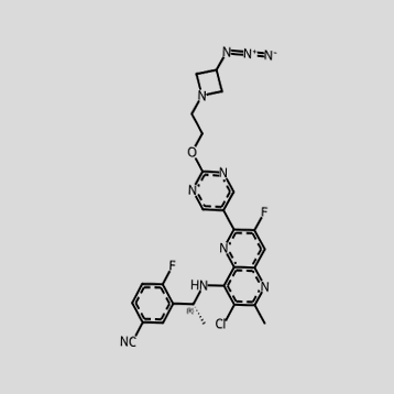 Cc1nc2cc(F)c(-c3cnc(OCCN4CC(N=[N+]=[N-])C4)nc3)nc2c(N[C@H](C)c2cc(C#N)ccc2F)c1Cl